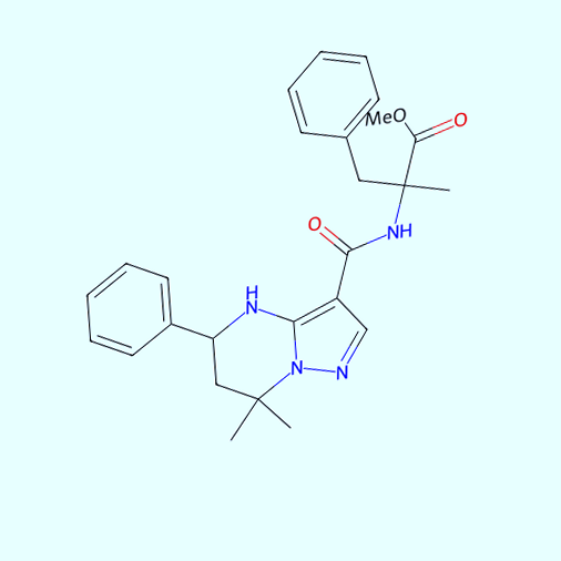 COC(=O)C(C)(Cc1ccccc1)NC(=O)c1cnn2c1NC(c1ccccc1)CC2(C)C